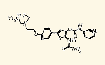 CCN(CC)CCOc1ccc(-c2cc(OC(=O)Nc3cccnc3)c(NC(N)=O)s2)cc1